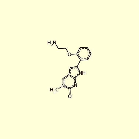 Cn1cc2cc(-c3ccccc3OCCN)[nH]c2nc1=O